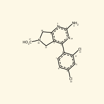 Nc1nc2c(c(-c3ccc(Cl)cc3Cl)n1)CN(C(=O)O)C2